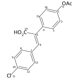 CC(=O)Oc1ccc(C(=Cc2ccc(Cl)cc2)C(=O)O)cc1